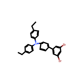 CCc1ccc(N(c2ccc(CC)cc2)c2ccc(-c3cc(Br)cc(Br)c3)cc2)cc1